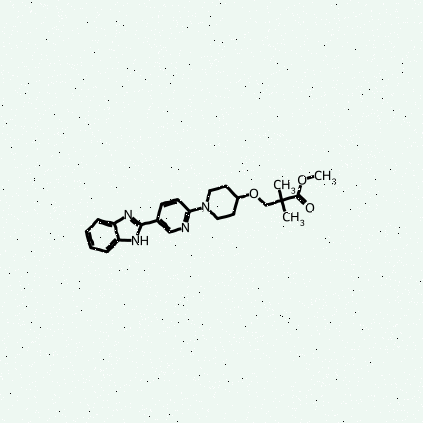 COC(=O)C(C)(C)COC1CCN(c2ccc(-c3nc4ccccc4[nH]3)cn2)CC1